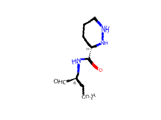 O=C[C@H](CC(=O)O)NC(=O)[C@@H]1CCCNN1